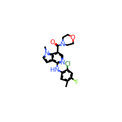 Cc1cc(Nc2ncc(C(=O)N3CCOCC3)c3c2ccn3C)c(Cl)cc1F